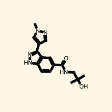 Cn1cc(-c2n[nH]c3ccc(C(=O)NCC(C)(C)O)cc23)cn1